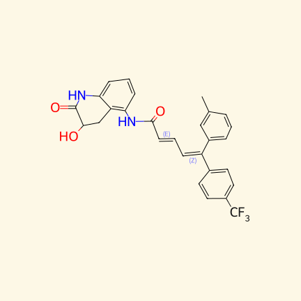 Cc1cccc(/C(=C\C=C\C(=O)Nc2cccc3c2CC(O)C(=O)N3)c2ccc(C(F)(F)F)cc2)c1